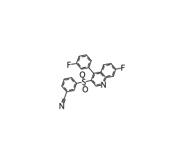 N#Cc1cccc(S(=O)(=O)c2cnc3cc(F)ccc3c2-c2cccc(F)c2)c1